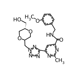 COc1cccc(CNC(=O)c2cc(-c3nnn(CC4CO[C@@H](CO)CO4)n3)nc(C)n2)c1